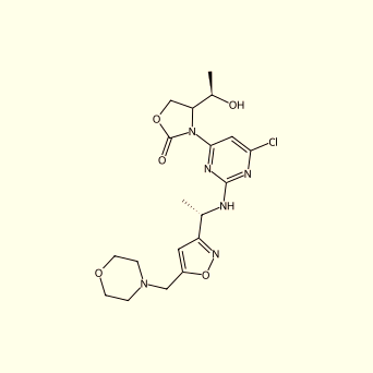 C[C@H](Nc1nc(Cl)cc(N2C(=O)OCC2[C@@H](C)O)n1)c1cc(CN2CCOCC2)on1